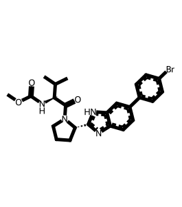 COC(=O)N[C@H](C(=O)N1CCC[C@H]1c1nc2ccc(-c3ccc(Br)cc3)cc2[nH]1)C(C)C